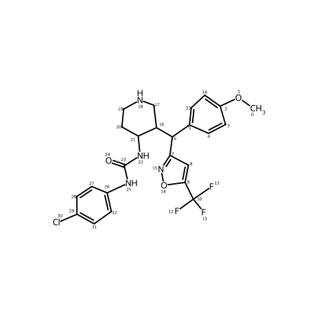 COc1ccc(C(c2cc(C(F)(F)F)on2)C2CNCCC2NC(=O)Nc2ccc(Cl)cc2)cc1